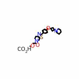 O=C(O)COCC(=O)N1CCc2nc(-c3ccc(O[C@H]4C[C@H](N5CCCCC5)C4)cc3)sc2C1